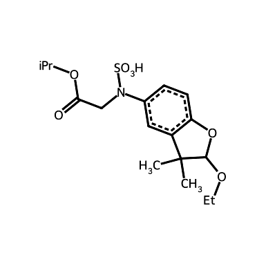 CCOC1Oc2ccc(N(CC(=O)OC(C)C)S(=O)(=O)O)cc2C1(C)C